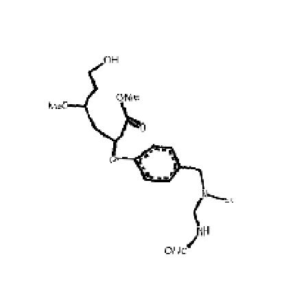 CCN(CNC=O)Cc1ccc(OC(CC(CCO)OC)C(=O)OC)cc1